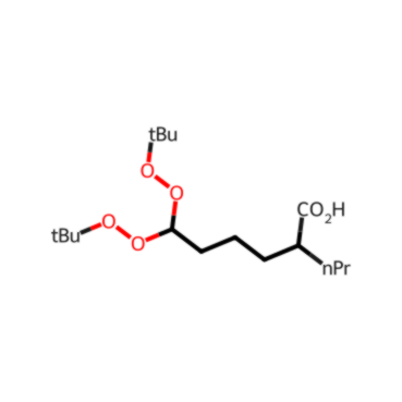 CCCC(CCCC(OOC(C)(C)C)OOC(C)(C)C)C(=O)O